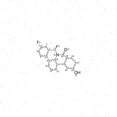 C[C@@H]1c2cc(F)ccc2-c2ccccc2N1C(=O)c1ccc(O)cc1